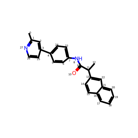 Cc1cc(-c2ccc(NC(=O)C(C)c3ccc4ccccc4c3)cc2)ccn1